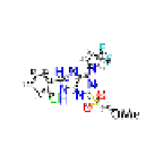 COCCS(=O)(=O)c1nc(NCc2ccccc2Cl)c(N)c(N2CCC(F)(F)C2)n1